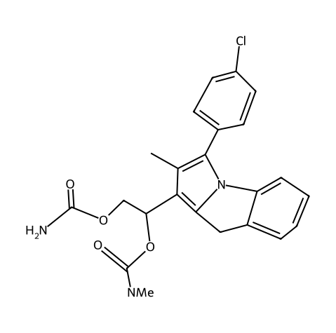 CNC(=O)OC(COC(N)=O)c1c(C)c(-c2ccc(Cl)cc2)n2c1Cc1ccccc1-2